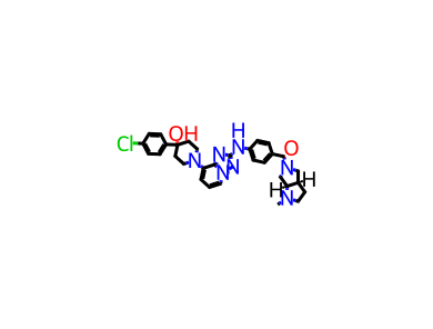 CN1CC[C@H]2CN(C(=O)c3ccc(Nc4nc5c(N6CCC(O)(c7ccc(Cl)cc7)CC6)cccn5n4)cc3)C[C@H]21